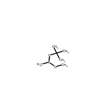 COB(C)OC(C)(C)C